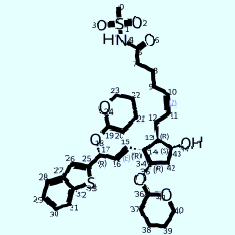 CS(=O)(=O)NC(=O)CCC/C=C\C[C@@H]1[C@@H](/C=C/[C@@H](OC2CCCCO2)c2cc3ccccc3s2)[C@H](OC2CCCCO2)C[C@@H]1O